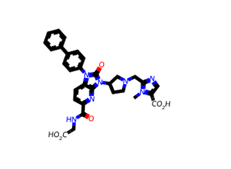 Cn1c(C(=O)O)cnc1CN1CCC(n2c(=O)n(-c3ccc(-c4ccccc4)cc3)c3ccc(C(=O)NCC(=O)O)nc32)C1